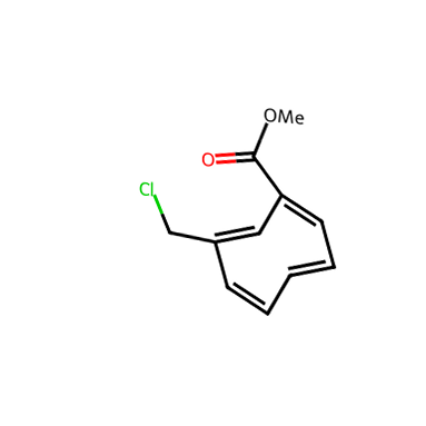 COC(=O)C1=C/C=C/C=C\C(CCl)=C\1